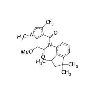 COCC(=O)N(C(=O)c1cn(C)cc1C(F)(F)F)c1cccc2c1C(C)CC2(C)C